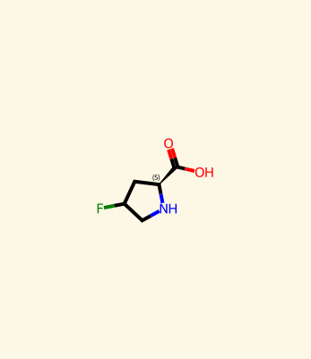 O=C(O)[C@@H]1CC(F)CN1